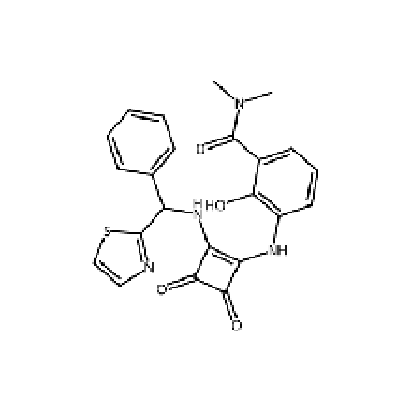 CN(C)C(=O)c1cccc(Nc2c(NC(c3ccccc3)c3nccs3)c(=O)c2=O)c1O